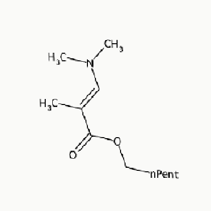 CCCCCCOC(=O)C(C)=CN(C)C